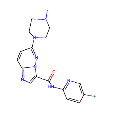 CN1CCN(c2ccc3ncc(C(=O)Nc4ccc(F)cn4)n3n2)CC1